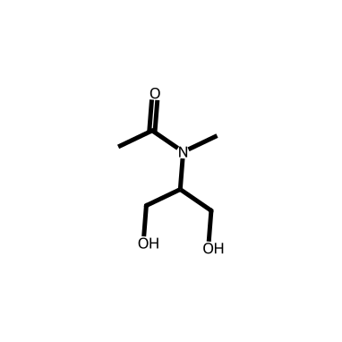 CC(=O)N(C)C(CO)CO